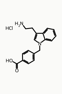 Cl.NCCc1cn(Cc2ccc(C(=O)O)cc2)c2ccccc12